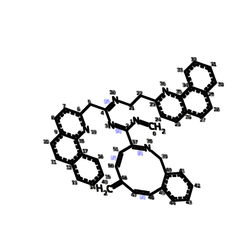 C=NC(=N\C(Cc1ccc2ccc3ccccc3c2n1)=N/CCc1ccc2ccc3ccccc3c2n1)/C1=N/Cc2ccccc2/C=C\C(=C)/C=C\1